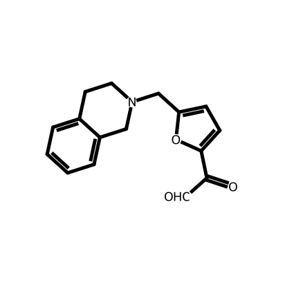 O=CC(=O)c1ccc(CN2CCc3ccccc3C2)o1